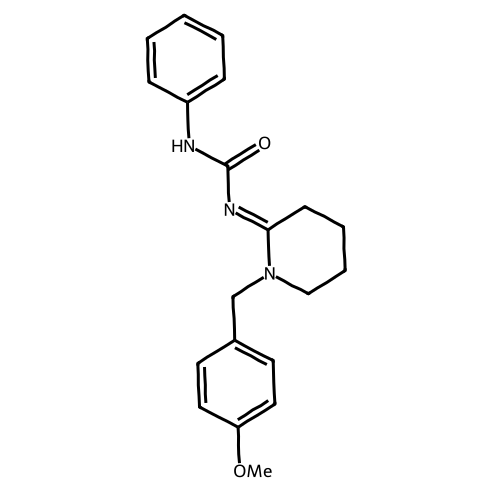 COc1ccc(CN2CCCCC2=NC(=O)Nc2ccccc2)cc1